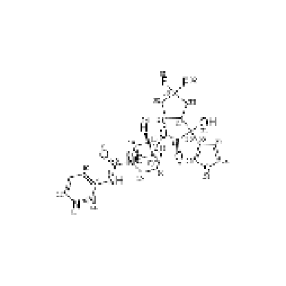 O=C(O[C@H]1C[N+]2(C(=O)Nc3cccnn3)CCC1CC2)C(O)(c1ccsc1)C1CCC(F)(F)C1